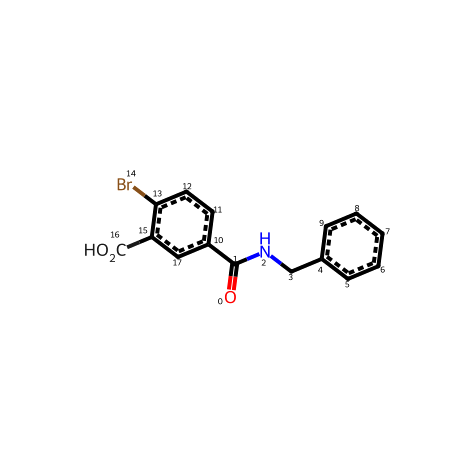 O=C(NCc1ccccc1)c1ccc(Br)c(C(=O)O)c1